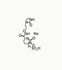 O=C(NOCCN1CCNC1=O)[C@@H]1CC[C@@H]2CN1C(=O)N2OS(=O)(=O)O.[Na]